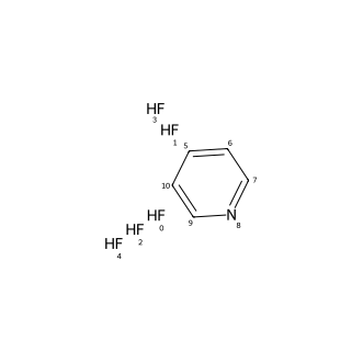 F.F.F.F.F.c1ccncc1